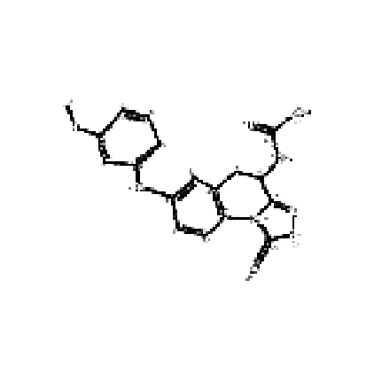 COc1cccc(Oc2ccc3c(c2)CC(NC(=O)O)c2n[nH]c(=O)n2-3)c1